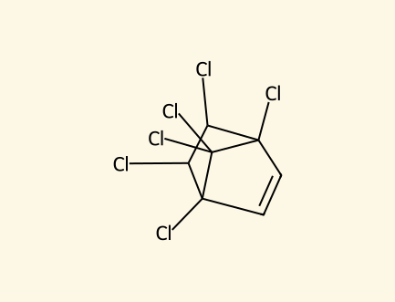 ClC1C(Cl)C2(Cl)C=CC1(Cl)C2(Cl)Cl